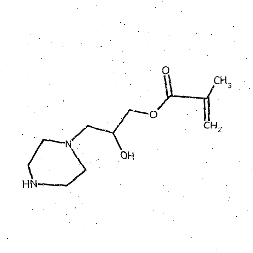 C=C(C)C(=O)OCC(O)CN1CCNCC1